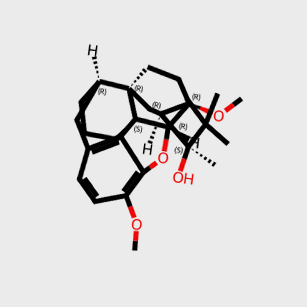 COc1ccc2c3c1O[C@H]1[C@@]4(OC)CC[C@@]5(C[C@@H]4[C@](C)(O)C(C)(C)C)[C@H](CCC[C@]315)C2